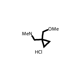 CNCC1(COC)CC1.Cl